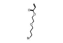 C=CC(=O)OCCOCCCBr